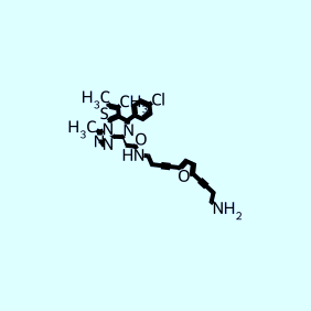 Cc1sc2c(c1C)C(c1ccc(Cl)cc1)=N[C@@H](CC(=O)NCCC#Cc1ccc(C#CCCN)o1)c1nnc(C)n1-2